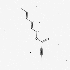 CC#CC(=O)OC/C=C/C=C/C